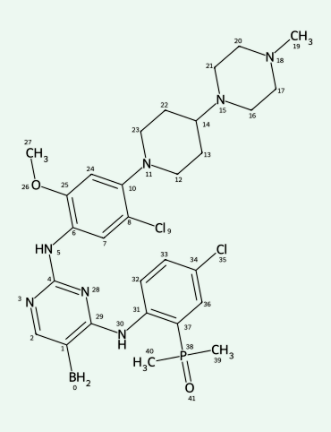 Bc1cnc(Nc2cc(Cl)c(N3CCC(N4CCN(C)CC4)CC3)cc2OC)nc1Nc1ccc(Cl)cc1P(C)(C)=O